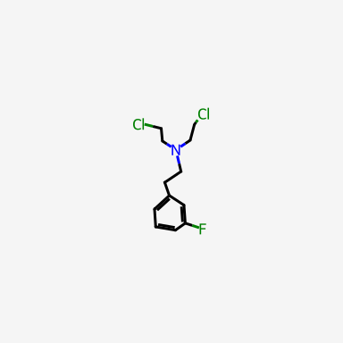 Fc1cccc(CCN(CCCl)CCCl)c1